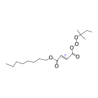 CCCCCCCCOC(=O)/C=C/C(=O)OOOC(C)(C)CC